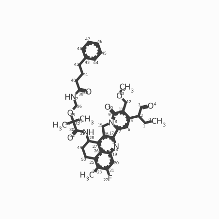 CCC(C=O)c1cc2n(c(=O)c1COC)Cc1c-2nc2cc(F)c(C)c3c2c1C(NC(=O)C(C)(C)OCNC(=O)CCCc1ccccc1)CC3